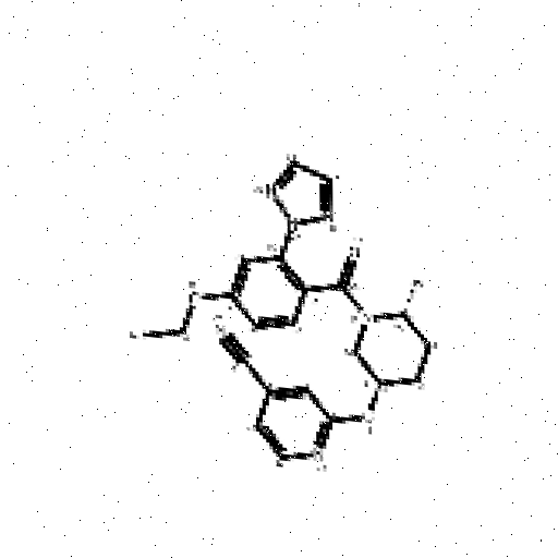 C[C@@H]1CC[C@@H](Oc2cc(C#N)ccn2)CN1C(=O)c1ccc(OCF)cc1-n1nccn1